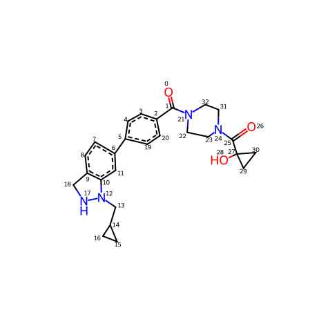 O=C(c1ccc(-c2ccc3c(c2)N(CC2CC2)NC3)cc1)N1CCN(C(=O)C2(O)CC2)CC1